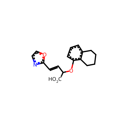 O=C(O)C(C=Cc1ncco1)Oc1cccc2c1CCCC2